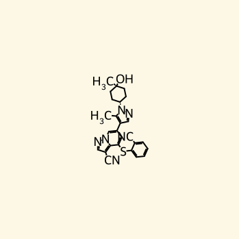 Cc1c(-c2cc(Sc3ccccc3C#N)c3c(C#N)cnn3c2)cnn1[C@H]1CC[C@@](C)(O)CC1